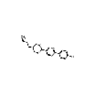 C=CCCC1COC(c2ccc(-c3ccc(Cl)cc3)nc2)OC1